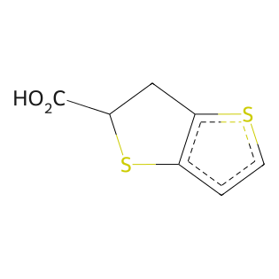 O=C(O)C1Cc2sccc2S1